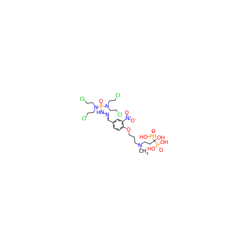 CN(CCCOc1ccc(/C=N/NP(=O)(N(CCCl)CCCl)N(CCCl)CCCl)cc1[N+](=O)[O-])CCC(O)([PH](=O)O)P(=O)(O)O